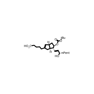 CCCCC[C@H](O)/C=C/[C@@H]1[C@H]2CC(CCCCC(=O)O)=C[C@H]2C[C@H]1OC(=O)OC(C)(C)C